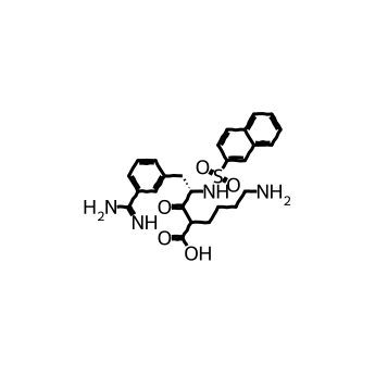 N=C(N)c1cccc(C[C@H](NS(=O)(=O)c2ccc3ccccc3c2)C(=O)C(CCCCN)C(=O)O)c1